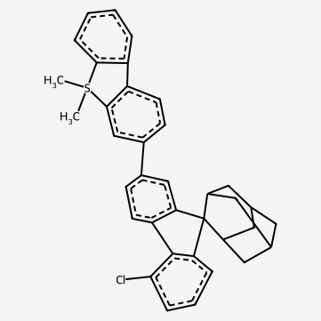 CS1(C)c2ccccc2-c2ccc(-c3ccc4c(c3)C3(c5cccc(Cl)c5-4)C4CC5CC(C4)CC3C5)cc21